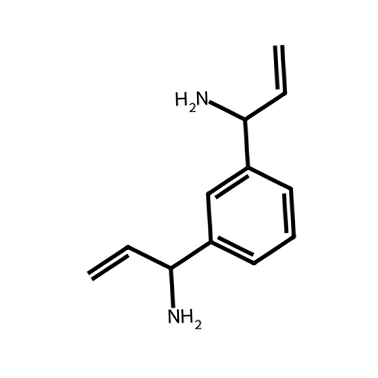 C=CC(N)c1cccc(C(N)C=C)c1